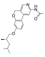 CC(=O)Nc1cc2c(cn1)COc1cc(OC[C@H](C)CC(C)C)ccc1-2